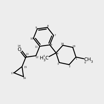 CC1CCC(C)(c2ccccc2CC(=O)C2CC2)CC1